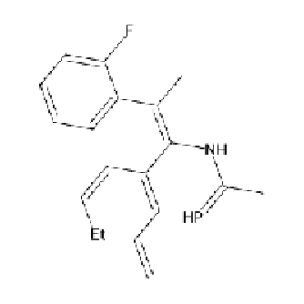 C=C/C=C(\C=C/CC)C(/NC(C)=P)=C(/C)c1ccccc1F